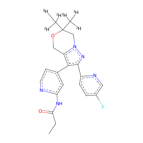 [2H]C([2H])([2H])C1(C([2H])([2H])[2H])Cn2nc(-c3ccc(F)cn3)c(-c3ccnc(NC(=O)CC)c3)c2CO1